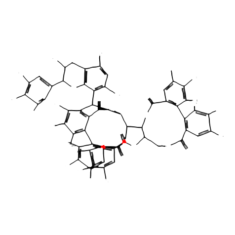 O=C(OC1COC(=O)c2cc(O)c(O)c(O)c2-c2c(cc(O)c(O)c2O)C(=O)OC1C1OC(=O)c2cc(O)c(O)c(O)c2-c2c(O)c(O)c(O)c3c2C(=O)OC1C3c1c(O)cc(O)c2c1OC(c1cc(O)c(O)c(O)c1)C(O)C2)c1cc(O)c(O)c(O)c1